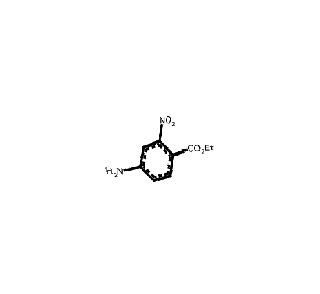 CCOC(=O)c1ccc(N)cc1[N+](=O)[O-]